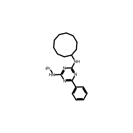 CC(C)Nc1nc(NC2CCCCCCCCC2)nc(-c2ccccc2)n1